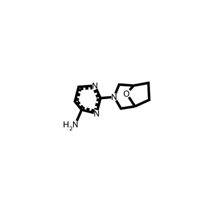 Nc1ccnc(N2CC3CCC(C2)O3)n1